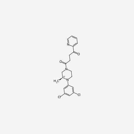 C[C@H]1CN(C(=O)CCC(=O)c2ccccn2)CCN1c1cc(Cl)cc(Cl)c1